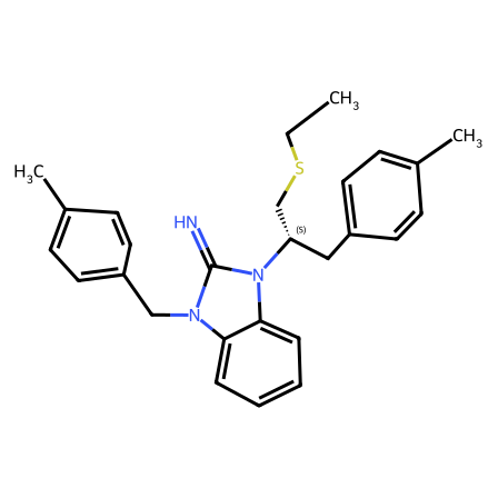 CCSC[C@H](Cc1ccc(C)cc1)n1c(=N)n(Cc2ccc(C)cc2)c2ccccc21